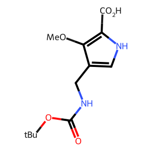 COc1c(CNC(=O)OC(C)(C)C)c[nH]c1C(=O)O